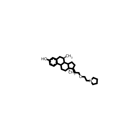 C[C@@H]1Cc2cc(O)ccc2C2CC[C@]3(C)/C(=C/COCCN4CCCC4)CCC3C21